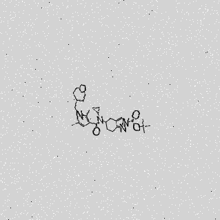 Cc1cc(C(=O)N(C2CC2)C2CCc3nn(C(=O)OC(C)(C)C)cc3C2)c(C)n1CC1CCOCC1